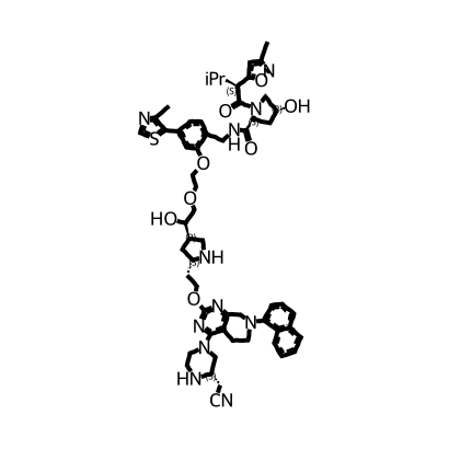 Cc1cc([C@@H](C(=O)N2C[C@H](O)C[C@H]2C(=O)NCc2ccc(-c3scnc3C)cc2OCCOCC(O)[C@H]2CN[C@H](CCOc3nc4c(c(N5CCN[C@@H](CC#N)C5)n3)CCN(c3cccc5ccccc35)C4)C2)C(C)C)on1